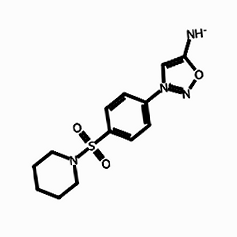 [NH-]c1c[n+](-c2ccc(S(=O)(=O)N3CCCCC3)cc2)no1